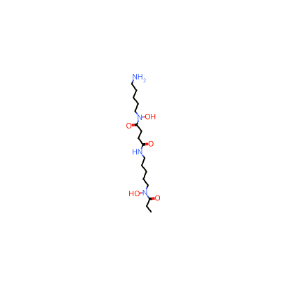 CCC(=O)N(O)CCCCCNC(=O)CCC(=O)N(O)CCCCCN